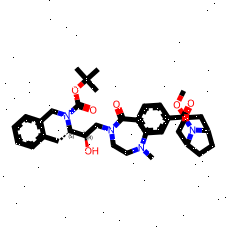 COC1CC2CCC(C1)N2C(=O)c1ccc2c(c1)N(C)CCN(C[C@@H](O)[C@@H]1Cc3ccccc3CN1C(=O)OC(C)(C)C)C2=O